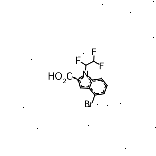 O=C(O)c1cc2c(Br)cccc2n1C(F)C(F)F